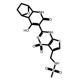 CS(=O)(=O)NCc1csc2c1S(=O)(=O)N=C(C1=C(O)C3C4CCC(O4)C3NC1=O)N2